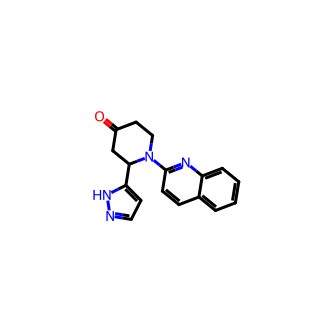 O=C1CCN(c2ccc3ccccc3n2)C(c2ccn[nH]2)C1